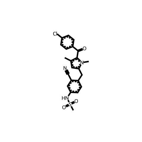 Cc1cc(Cc2ccc(NS(C)(=O)=O)cc2C#N)n(C)c1C(=O)c1ccc(Cl)cc1